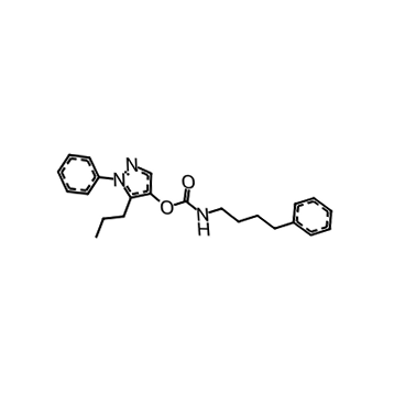 CCCc1c(OC(=O)NCCCCc2ccccc2)cnn1-c1ccccc1